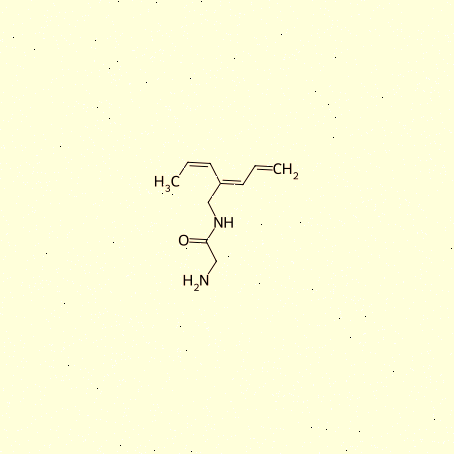 C=C/C=C(\C=C/C)CNC(=O)CN